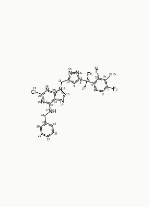 Fc1ccc(C(F)(F)n2cc(Cn3cnc4c(NCc5ccccc5)nc(Cl)nc43)nn2)c(F)c1F